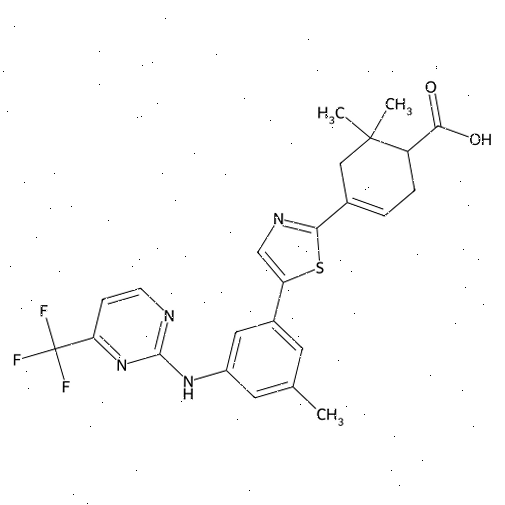 Cc1cc(Nc2nccc(C(F)(F)F)n2)cc(-c2cnc(C3=CCC(C(=O)O)C(C)(C)C3)s2)c1